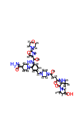 C[C@@H]1C[C@@H](O)CN1C(=O)[C@@H](NC(=O)CCC(=O)N1CCN(Cc2ccc(NC(=O)c3coc(N4CCOCC4)n3)c(N3CCC(C(N)=O)CC3)c2)CC1)C(C)(C)C